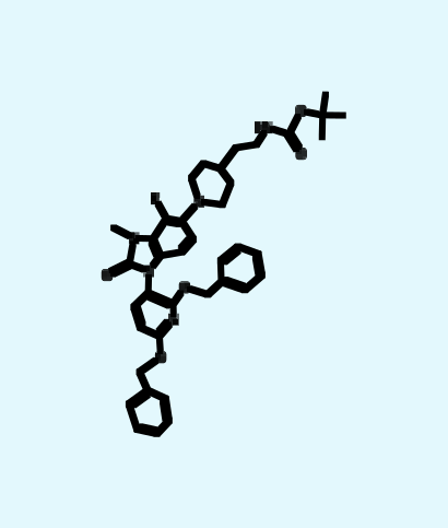 Cn1c(=O)n(-c2ccc(OCc3ccccc3)nc2OCc2ccccc2)c2ccc(N3CCC(CCNC(=O)OC(C)(C)C)CC3)c(F)c21